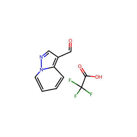 O=C(O)C(F)(F)F.O=Cc1cnn2ccccc12